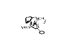 CN(Cc1ccccc1)c1nc(O)cc(-c2ccccc2)n1